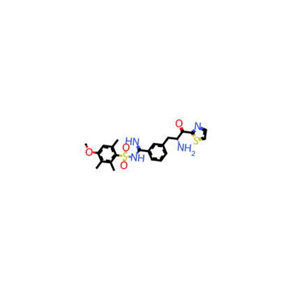 COc1cc(C)c(S(=O)(=O)NC(=N)c2cccc(C[C@@H](N)C(=O)c3nccs3)c2)c(C)c1C